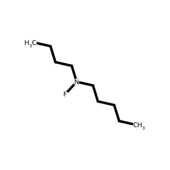 CCCCCN(F)CCCC